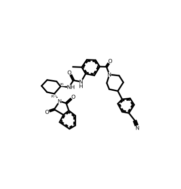 Cc1ccc(C(=O)N2CCC(c3ccc(C#N)cc3)CC2)cc1NC(=O)N[C@@H]1CCCC[C@H]1N1C(=O)c2ccccc2C1=O